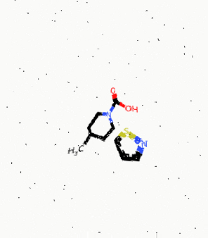 CC1CCN(C(=O)O)CC1.c1cnsc1